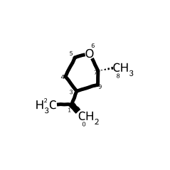 C=C(C)C1CCO[C@H](C)C1